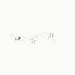 CS(=O)(=O)Nc1ccc(-c2cnc3ccc(Oc4ccc(NC(=O)Nc5cccc(F)c5)cc4)cc3n2)cc1